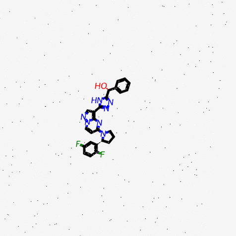 O[C@H](c1ccccc1)c1nnc(-c2cnn3ccc(N4CCC[C@@H]4c4cc(F)ccc4F)nc23)[nH]1